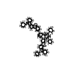 c1ccc(-c2nc(-c3ccccc3)nc(-c3cc(-c4ccc5oc6c(ccc7c6c6ccccc6n7-c6ccccc6)c5c4)cnc3-c3ccc4sc5c(ccc6c5c5ccccc5n6-c5ccccc5)c4c3)n2)cc1